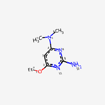 CCOc1cc(N(C)C)nc(N)n1